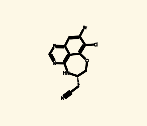 N#CC[C@H]1COc2c(Cl)c(Br)cc3ncnc(c23)N1